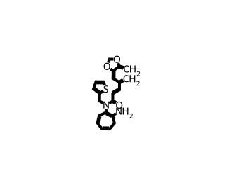 C=C(/C=C/C(=O)N(Cc1cccs1)C1=C(N)CC=CC=C1)/C=C1/OCOC1=C